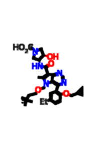 CCc1ccc(OCC2CC2)c(-c2ncnc3c(C(=O)N[C@@H]4CN(C(=O)O)C[C@H]4O)c(C)n(COCC[Si](C)(C)C)c23)c1